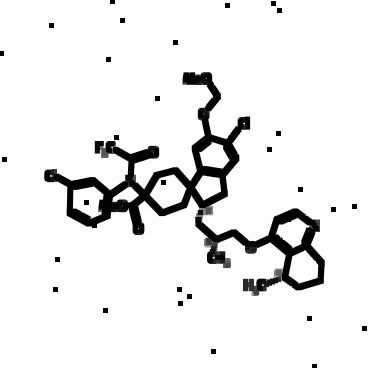 COCOc1cc2c(cc1Cl)C[C@H](C[C@@H](C)COc1ccnc3c1[C@@H](C)CCC3)C21CCC(C(=O)OC)(N(C(=O)C(F)(F)F)c2cccc(Cl)c2)CC1